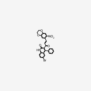 O=C(C=Cc1cc2c(cc1[N+](=O)[O-])OCCO2)c1c(-c2ccccc2)c2cc(Br)ccc2[nH]c1=O